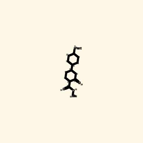 CCCCCC1CCC(C2CCC(C(=O)OCCCC)C(=O)C2)CC1